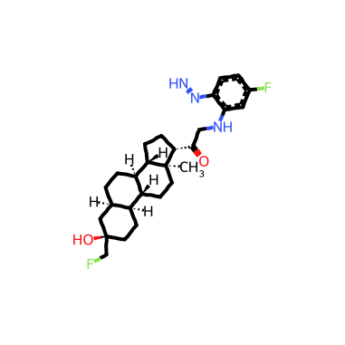 C[C@]12CC[C@H]3[C@@H](CC[C@@H]4C[C@@](O)(CF)CC[C@@H]43)[C@@H]1CC[C@@H]2C(=O)CNc1cc(F)ccc1N=N